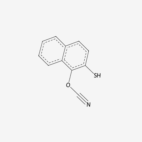 N#COc1c(S)ccc2ccccc12